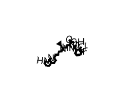 O=C(NC(CCN(CCCCc1ccc2c(n1)NCCC2)C1CC1)C(=O)O)c1cccc(F)c1Cl